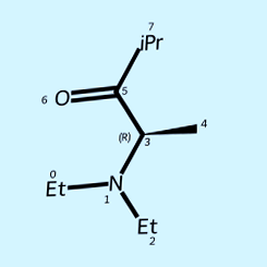 CCN(CC)[C@H](C)C(=O)C(C)C